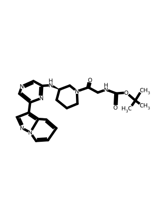 CC(C)(C)OC(=O)NCC(=O)N1CCC[C@@H](Nc2cncc(-c3cnn4ccccc34)n2)C1